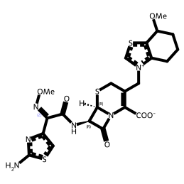 CO/N=C(\C(=O)N[C@@H]1C(=O)N2C(C(=O)[O-])=C(C[n+]3csc4c3CCCC4OC)CS[C@H]12)c1csc(N)n1